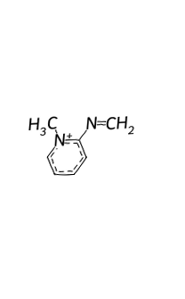 C=Nc1cccc[n+]1C